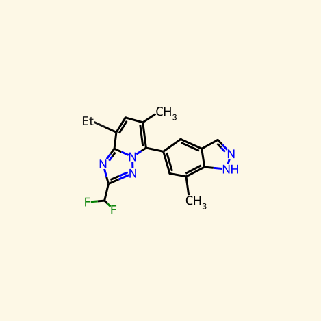 CCc1cc(C)c(-c2cc(C)c3[nH]ncc3c2)n2nc(C(F)F)nc12